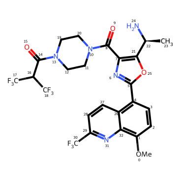 COc1ccc(-c2nc(C(=O)N3CCN(C(=O)C(C(F)(F)F)C(F)(F)F)CC3)c([C@H](C)N)o2)c2ccc(C(F)(F)F)nc12